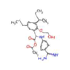 CCCc1cc(C(C)CC)c(OCCO)c(C(Nc2ccc(C(=N)N)cc2)C(=O)OC(C)=O)c1